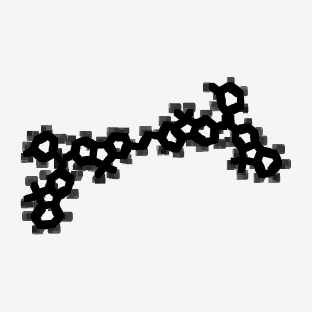 Cc1cccc(N(c2ccc3c(c2)C(C)(C)c2ccccc2-3)c2ccc3c(c2)C(C)(C)c2cc(/C=C/c4ccc5c(c4)C(C)(C)c4cc(N(c6cccc(C)c6)c6ccc7c(c6)C(C)(C)c6ccccc6-7)ccc4-5)ccc2-3)c1